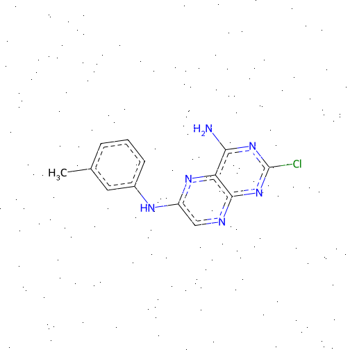 Cc1cccc(Nc2cnc3nc(Cl)nc(N)c3n2)c1